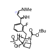 CN/C=C\C(=N)c1cccc(C[C@H]2[C@@H](NS(C)(=O)=O)C3CC(C3)N2C(=O)OC(C)(C)C)c1F